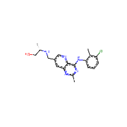 Cc1nc(Nc2cccc(Cl)c2C)c2ncc(CN[C@@H](C)CO)cc2n1